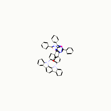 c1ccc(-c2nc(-c3ccccc3)nc(-c3ccc(-n4c5ccccc5c5ccc6c7ccccc7n(-c7ccc(-c8cccc9nc(-c%10ccccc%10)oc89)cc7)c6c54)cc3)n2)cc1